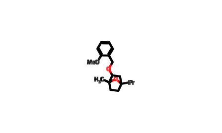 COc1ccccc1COC1CC2(C(C)C)CCC1(C)O2